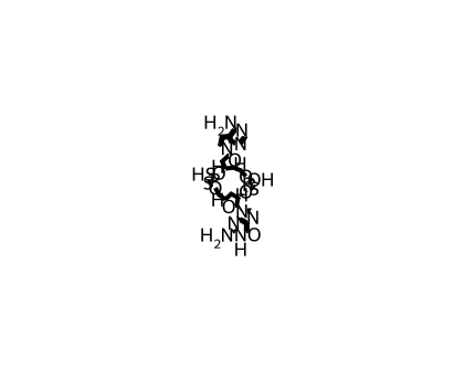 Nc1nc2c(ncn2[C@@H]2O[C@@H]3COP(=S)(S)O[C@H]4C[C@H](n5ccc6c(N)ncnc65)O[C@@H]4COP(O)(=S)O[C@@H]2C3)c(=O)[nH]1